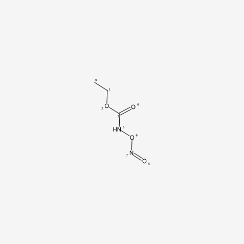 CCOC(=O)NON=O